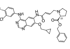 O=C(C=CCN1CCC[C@H]1C(=O)OCc1ccccc1)Nc1cc2c(Nc3ccc(F)c(Cl)c3)ncnc2cc1OCC1CC1